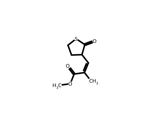 COC(=O)C(C)=CC1CCSC1=O